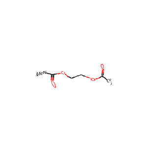 CNC(=O)OCCOC(=O)C(F)(F)F